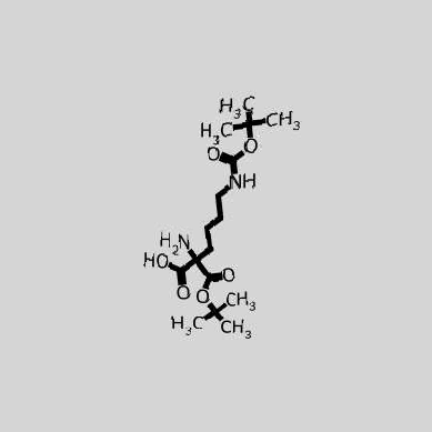 CC(C)(C)OC(=O)NCCCCC(N)(C(=O)O)C(=O)OC(C)(C)C